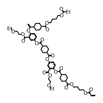 C=CC(=O)OCCCCOC(=O)C1CCC(C(=O)Oc2ccc(OC(=O)C3CCC(C(=O)Oc4ccc(OC(=C)C5CCC(C(=O)OCCCCOC(=O)CC)CC5)c(C(=O)OCCOCC)c4)CC3)cc2C(=O)OCCOCC)CC1